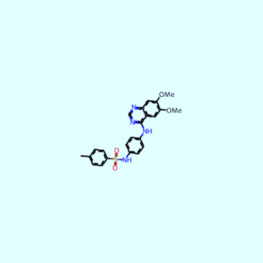 COc1cc2ncnc(Nc3ccc(NS(=O)(=O)c4ccc(C)cc4)cc3)c2cc1OC